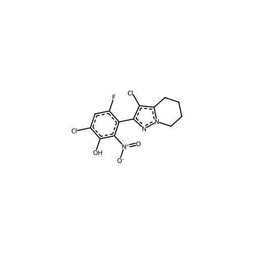 O=[N+]([O-])c1c(O)c(Cl)cc(F)c1-c1nn2c(c1Cl)CCCC2